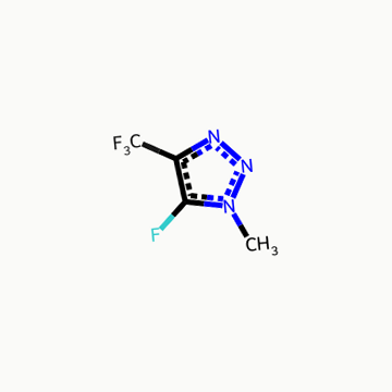 Cn1nnc(C(F)(F)F)c1F